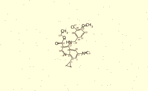 [C-]#[N+]c1cc(C2CC2)c2ncc(C(=O)OCC)c(NCc3ccc(OC)c(Cl)c3)c2c1